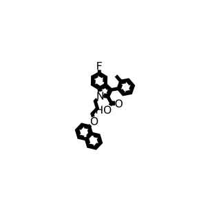 Cc1ccccc1-c1c(C(=O)O)n(CCCOc2cccc3ccccc23)c2ccc(F)cc12